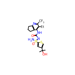 CCc1c(C(F)(F)F)nc2c(c1NC(=O)N=[S@](N)(=O)c1cc(C(C)(C)O)cs1)CCC2